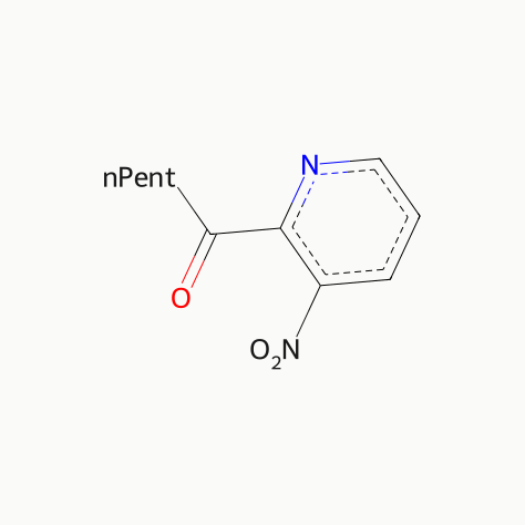 CCCCCC(=O)c1ncccc1[N+](=O)[O-]